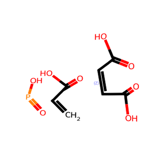 C=CC(=O)O.O=C(O)/C=C\C(=O)O.O=PO